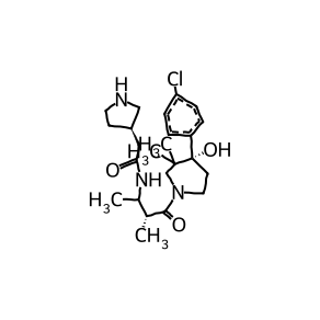 CC(NC(=O)C[C@H]1CCNC1)[C@@H](C)C(=O)N1CC[C@](O)(c2ccc(Cl)cc2)C(C)(C)C1